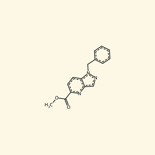 COC(=O)c1ccc2c(cnn2Cc2ccccc2)n1